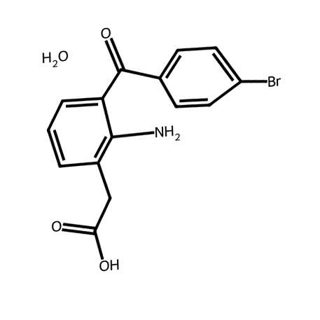 Nc1c(CC(=O)O)cccc1C(=O)c1ccc(Br)cc1.O